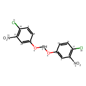 O=[N+]([O-])c1cc(OBOc2ccc(Cl)c([N+](=O)[O-])c2)ccc1Cl